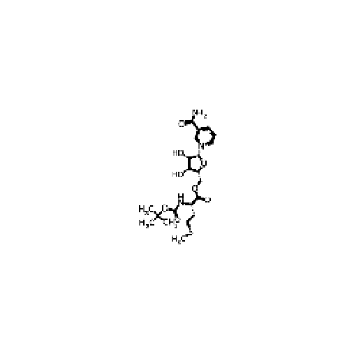 CSCC[C@H](NC(=O)OC(C)(C)C)C(=O)OC[C@H]1O[C@@H]([n+]2cccc(C(N)=O)c2)[C@H](O)[C@@H]1O